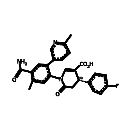 Cc1ccc(-c2cc(C(N)=O)c(C)cc2N2C=C(C(=O)O)[C@H](c3ccc(F)cc3)CC2=O)cn1